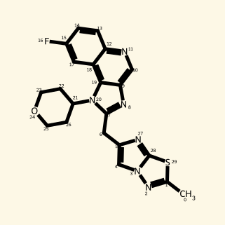 Cc1nn2cc(Cc3nc4cnc5ccc(F)cc5c4n3C3CCOCC3)nc2s1